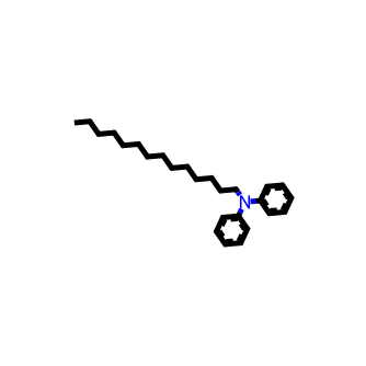 CCCCCCCCCCCCCCN(c1ccccc1)c1ccccc1